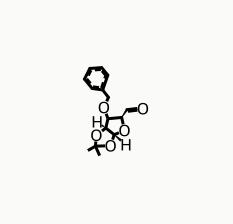 CC1(C)O[C@H]2O[C@H](C=O)C(OCc3ccccc3)[C@@H]2O1